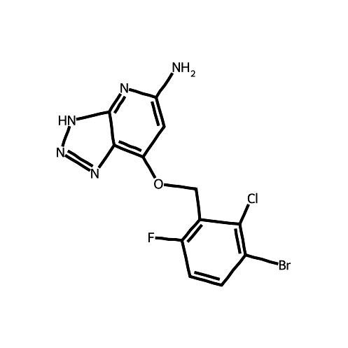 Nc1cc(OCc2c(F)ccc(Br)c2Cl)c2nn[nH]c2n1